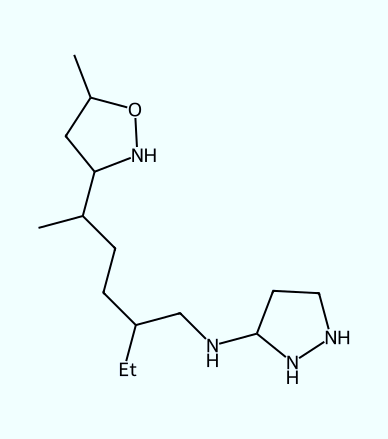 CCC(CCC(C)C1CC(C)ON1)CNC1CCNN1